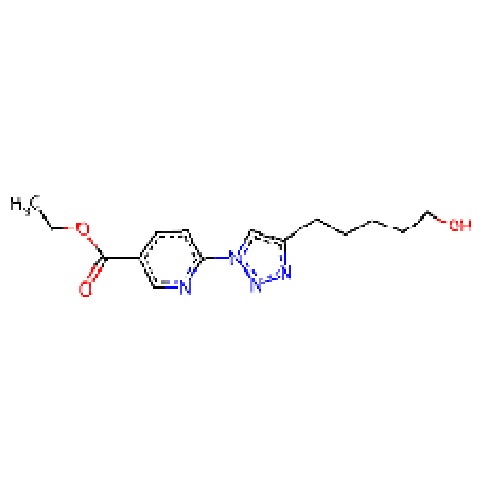 CCOC(=O)c1ccc(-n2cc(CCCCCO)nn2)nc1